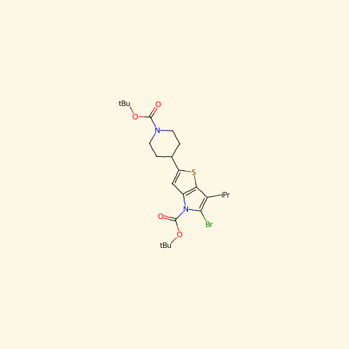 CC(C)c1c(Br)n(C(=O)OC(C)(C)C)c2cc(C3CCN(C(=O)OC(C)(C)C)CC3)sc12